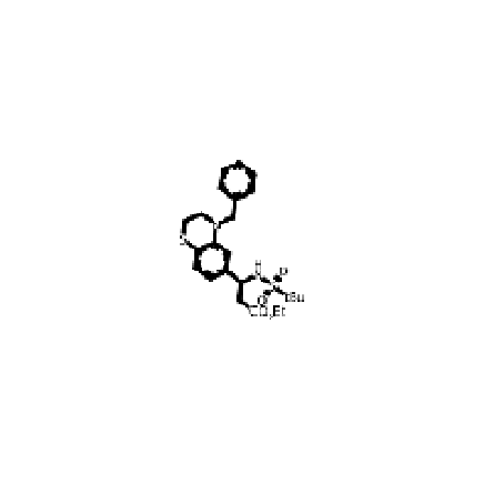 CCOC(=O)CC(NS(=O)(=O)C(C)(C)C)c1ccc2c(c1)N(Cc1ccccc1)CCS2